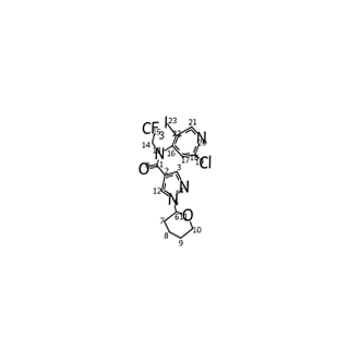 O=C(c1cnn(C2CCCCO2)c1)N(CC(F)(F)F)c1cc(Cl)ncc1I